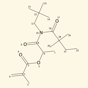 C=C(C)C(=O)OC(C)C(=O)N(CC(C)(C)C)C(=O)C(C)(C)CC